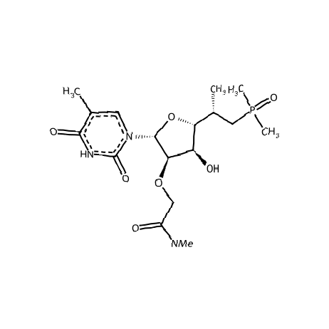 CNC(=O)CO[C@@H]1[C@H](O)[C@@H]([C@H](C)CP(C)(C)=O)O[C@H]1n1cc(C)c(=O)[nH]c1=O